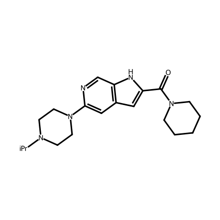 CC(C)N1CCN(c2cc3cc(C(=O)N4CCCCC4)[nH]c3cn2)CC1